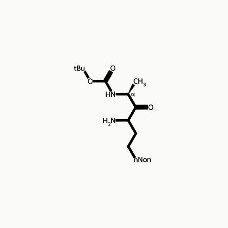 CCCCCCCCCCCC(N)C(=O)[C@H](C)NC(=O)OC(C)(C)C